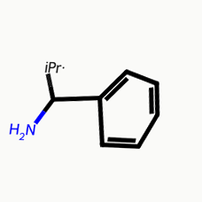 C[C](C)C(N)c1ccccc1